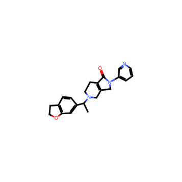 CC(c1ccc2c(c1)OCC2)N1CCC2=C(CN(c3cccnc3)C2=O)C1